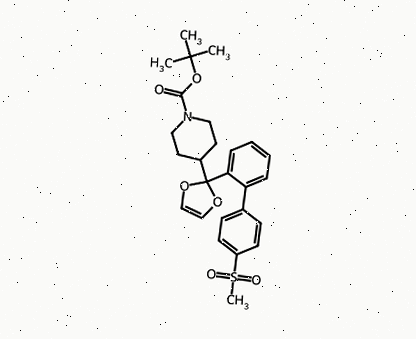 CC(C)(C)OC(=O)N1CCC(C2(c3ccccc3-c3ccc(S(C)(=O)=O)cc3)OC=CO2)CC1